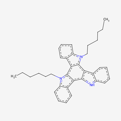 CCCCCCn1c2ccccc2c2c3[nH]c4ccccc4c3c3c(c4ccccc4n3CCCCCC)c21